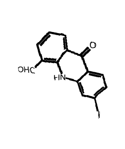 O=Cc1cccc2c(=O)c3ccc(I)cc3[nH]c12